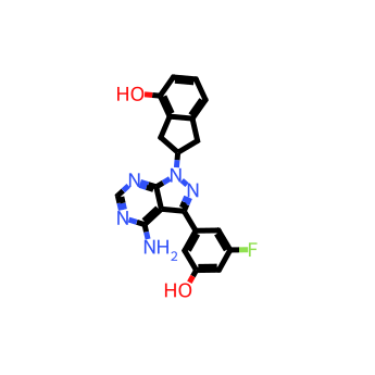 Nc1ncnc2c1c(-c1cc(O)cc(F)c1)nn2C1Cc2cccc(O)c2C1